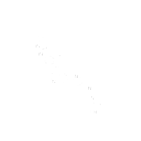 O=C(Nc1ccc(Oc2ccnc3c2SC(c2ccc(CN4CCN(C(=O)CO)CC4)cn2)C3)c(F)c1)NC1CC1